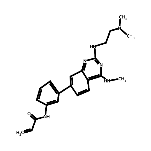 C=CC(=O)Nc1cccc(-c2ccc3c(NC)nc(NCCN(C)C)nc3c2)c1